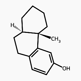 C[C@]12CCCC[C@@H]1CCc1ccc(O)cc12